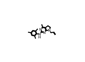 C=CCN1CCc2c(C)nc(Nc3c(C)cc(C)cc3C)nc21